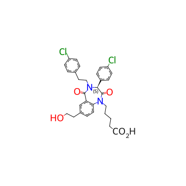 O=C(O)CCCCN1C(=O)[C@H](c2ccc(Cl)cc2)N(CCc2ccc(Cl)cc2)C(=O)c2cc(CCO)ccc21